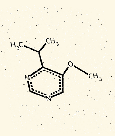 COc1cn[c]nc1C(C)C